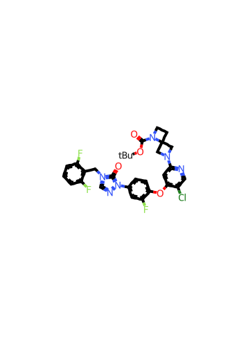 CC(C)(C)OC(=O)N1CCC12CN(c1cc(Oc3ccc(-n4ncn(Cc5c(F)cccc5F)c4=O)cc3F)c(Cl)cn1)C2